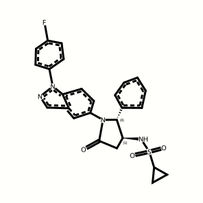 O=C1C[C@H](NS(=O)(=O)C2CC2)[C@@H](c2ccccc2)N1c1ccc2c(cnn2-c2ccc(F)cc2)c1